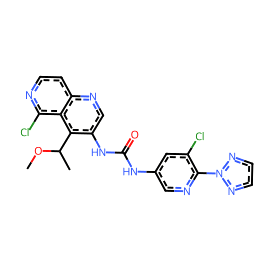 COC(C)c1c(NC(=O)Nc2cnc(-n3nccn3)c(Cl)c2)cnc2ccnc(Cl)c12